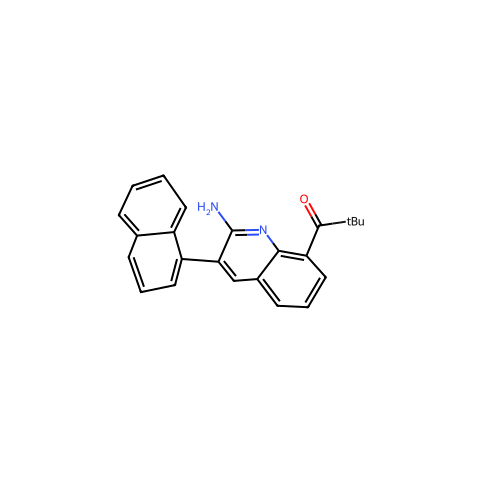 CC(C)(C)C(=O)c1cccc2cc(-c3cccc4ccccc34)c(N)nc12